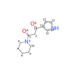 O=C(CC(=O)N1CCCCC1)c1cc[nH]c1